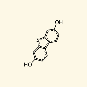 Oc1ccc2c(c1)sc1cc(O)ccc12